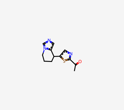 CC(=O)c1ncc(C2CCCn3cncc32)s1